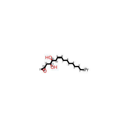 CC(C)CCCCCCC/C=C\CC(O)C(O)CC1CO1